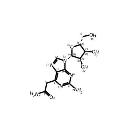 NC(=O)Cc1nc(N)nc2c1ncn2[C@@H]1O[C@H](CO)[C@@H](O)[C@H]1O